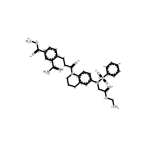 CCOC(=O)CN(c1ccc2c(c1)CCCN2C(=O)CCc1ccc(C(=O)OC)cc1C(=N)N)S(=O)(=O)c1ccccc1